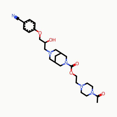 CC(=O)N1CCN(CCOC(=O)N2CC3CC(CN(CC(O)COc4ccc(C#N)cc4)C3)C2)CC1